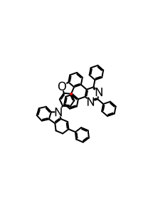 C1=C(c2ccccc2)CCc2c1n(-c1ccc3c(c1)oc1cccc(-c4c(-c5ccccc5)nc(-c5ccccc5)nc4-c4ccccc4)c13)c1ccccc21